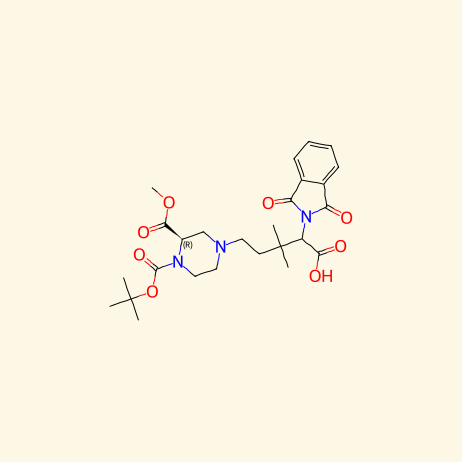 COC(=O)[C@H]1CN(CCC(C)(C)C(C(=O)O)N2C(=O)c3ccccc3C2=O)CCN1C(=O)OC(C)(C)C